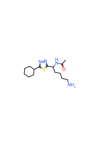 CC(=O)NC(CCCCN)c1nnc(C2CCCCC2)s1